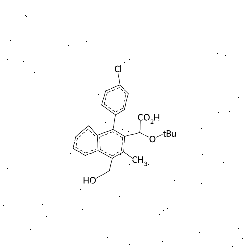 Cc1c(C(OC(C)(C)C)C(=O)O)c(-c2ccc(Cl)cc2)c2ccccc2c1CO